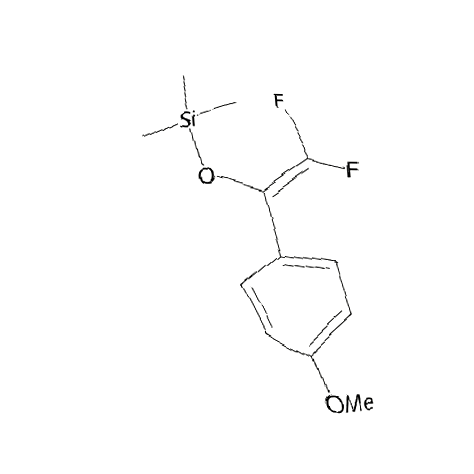 COc1ccc(C(O[Si](C)(C)C)=C(F)F)cc1